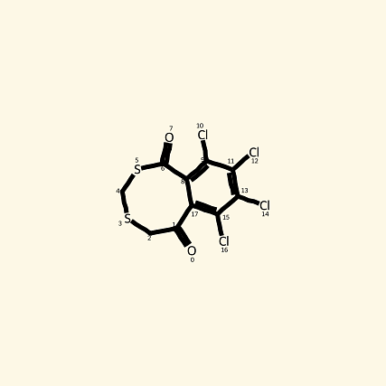 O=C1CSCSC(=O)c2c(Cl)c(Cl)c(Cl)c(Cl)c21